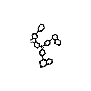 c1ccc(-c2ccc3sc4ccc(N(c5ccc(-c6cccc7ccccc67)cc5)c5ccc(-c6cccc7ccccc67)cc5)cc4c3c2)cc1